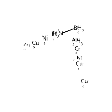 B[SiH3].[AlH3].[Cr].[Cu].[Cu].[Cu].[Fe].[Ni].[Ni].[Zn]